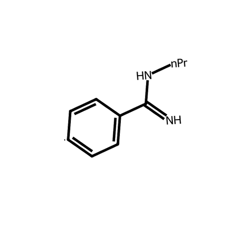 CCCNC(=N)c1cc[c]cc1